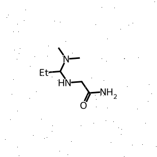 CCC(NCC(N)=O)N(C)C